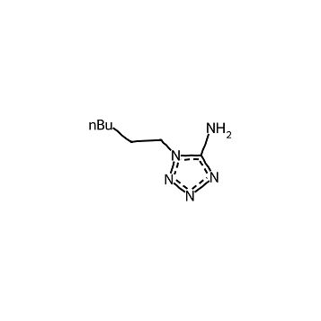 CCCCCCn1nnnc1N